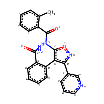 Cc1ccccc1C(=O)Nc1onc(-c2cccnc2)c1-c1ccccc1C(N)=O